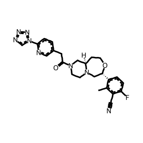 Cc1c([C@@H]2CN3CCN(C(=O)Cc4ccc(-n5cnnn5)nc4)C[C@H]3CCO2)ccc(F)c1C#N